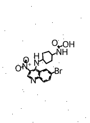 O=C(O)NC1CCC(Nc2c([N+](=O)[O-])cnc3ccc(Br)cc23)CC1